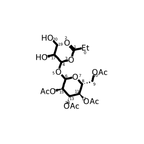 CCC(=O)OC(OC1O[C@H](COC(C)=O)[C@@H](OC(C)=O)[C@H](OC(C)=O)[C@H]1OC(C)=O)C(O)CO